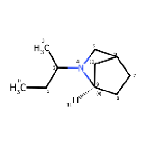 CCC(C)N1CC2CC[C@@H]1C2